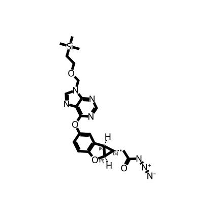 C[Si](C)(C)CCOCn1cnc2c(Oc3ccc4c(c3)[C@H]3[C@H](CC(=O)N=[N+]=[N-])[C@H]3O4)ncnc21